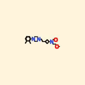 COCCN(C=O)C1CC(CCN2CCN(c3cccc(C)c3C)CC2)C1